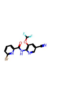 N#Cc1cnc(NC(=O)c2cccc(Br)n2)c(OC(F)F)c1